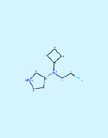 FCCN(C1CCC1)[C@@H]1CCNC1